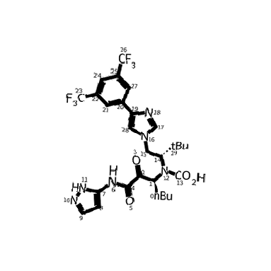 CCCC[C@@H](C(=O)C(=O)Nc1ccn[nH]1)N(C(=O)O)[C@H](Cn1cnc(-c2cc(C(F)(F)F)cc(C(F)(F)F)c2)c1)C(C)(C)C